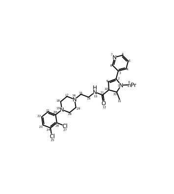 CCCN1C(c2cccnc2)=CC(C(=O)NCCN2CCN(c3cccc(Cl)c3Cl)CC2)C1C